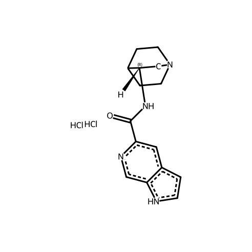 Cl.Cl.O=C(N[C@H]1CN2CCC1CC2)c1cc2cc[nH]c2cn1